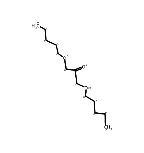 CCCCCOCC(=O)COCCCCC